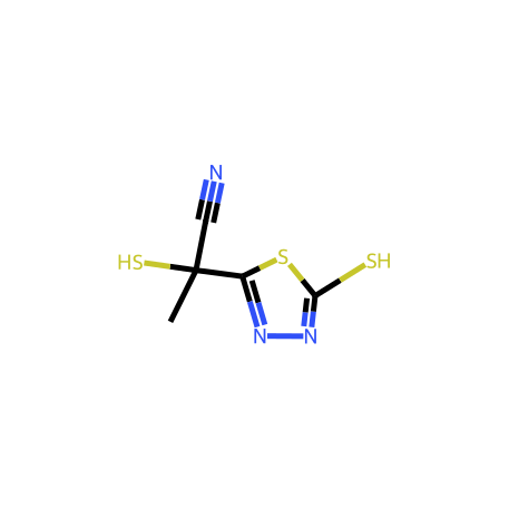 CC(S)(C#N)c1nnc(S)s1